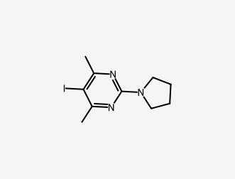 Cc1nc(N2CCCC2)nc(C)c1I